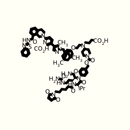 Cc1c(-c2ccc(N3CCc4cccc(C(=O)Nc5nc6ccccc6s5)c4C3)nc2C(=O)O)cnn1CC12CC3(C)CC(C)(C1)CC(OCCN(CCCC(=O)O)C1CCN(C(=O)OCc4ccc(N(C(=O)[C@@H](NC(=O)CCCCCN5C(=O)C=CC5=O)C(C)C)[C@@H](CCCNC(N)=O)C(N)=O)cc4)CC1)(C3)C2